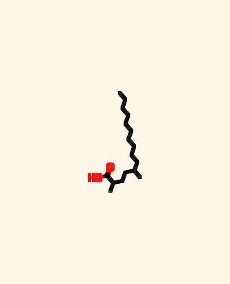 CCCCCCCCCCC(C)CCC(C)C(=O)O